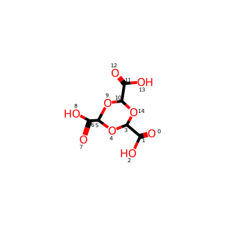 O=C(O)C1OC(C(=O)O)OC(C(=O)O)O1